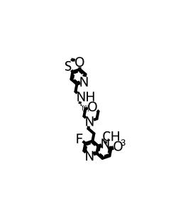 Cn1c(=O)ccc2ncc(F)c(CCN3CCO[C@@H](CNCc4cc5c(cn4)OCS5)C3)c21